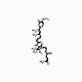 COC1=CC[C@@H]([C@@H](C)/C=C(C)/C=C\C=C/C(=O)N[C@H](C(=O)N/C=C\C[C@H](O)C/C=C(\C)Cl)C(C)(C)C)OC1=O